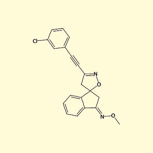 CON=C1CC2(CC(C#Cc3cccc(Cl)c3)=NO2)c2ccccc21